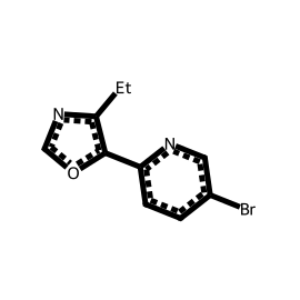 CCc1ncoc1-c1ccc(Br)cn1